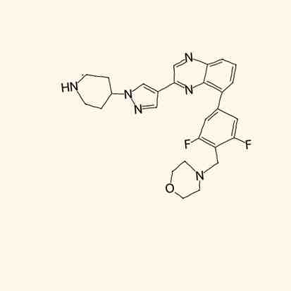 Fc1cc(-c2cccc3ncc(-c4cnn(C5C[CH]NCC5)c4)nc23)cc(F)c1CN1CCOCC1